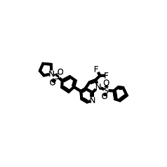 O=S(=O)(c1ccc(-c2ccnc3c2cc(C(F)F)n3S(=O)(=O)c2ccccc2)cc1)N1CCCC1